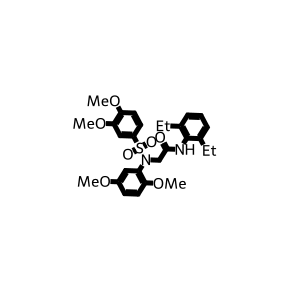 CCc1cccc(CC)c1NC(=O)CN(c1cc(OC)ccc1OC)S(=O)(=O)c1ccc(OC)c(OC)c1